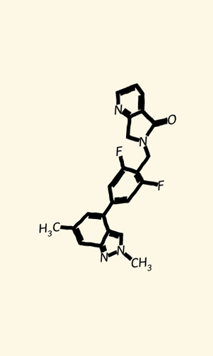 Cc1cc(-c2cc(F)c(CN3Cc4ncccc4C3=O)c(F)c2)c2cn(C)nc2c1